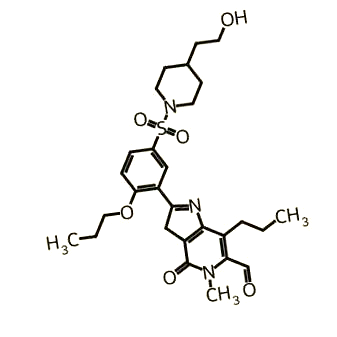 CCCOc1ccc(S(=O)(=O)N2CCC(CCO)CC2)cc1C1=Nc2c(CCC)c(C=O)n(C)c(=O)c2C1